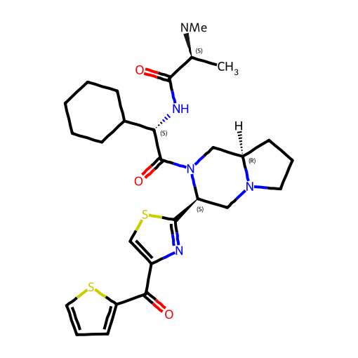 CN[C@@H](C)C(=O)N[C@H](C(=O)N1C[C@H]2CCCN2C[C@H]1c1nc(C(=O)c2cccs2)cs1)C1CCCCC1